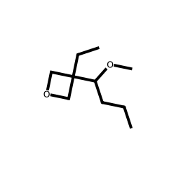 CCCC(OC)C1(CC)COC1